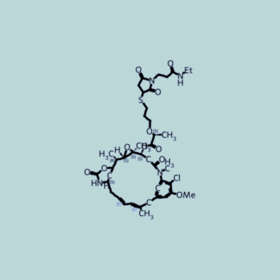 CCNC(=O)CCN1C(=O)CC(SCCCO[C@@H](C)C(=O)O[C@H]2CC(=O)N(C)c3cc(cc(OC)c3Cl)C/C(C)=C/C=C/C[C@H]3CC(OC(=O)N3)[C@@H](C)[C@@H]3O[C@@]23C)C1=O